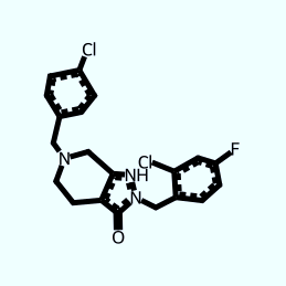 O=c1c2c([nH]n1Cc1ccc(F)cc1Cl)CN(Cc1ccc(Cl)cc1)CC2